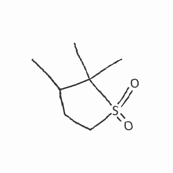 CC1CCS(=O)(=O)C1(C)C